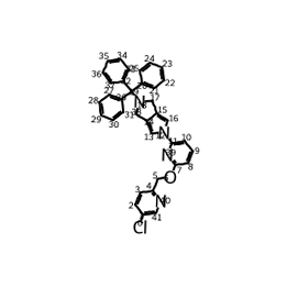 Clc1ccc(COc2cccc(-n3cc4c(c3)CN(C(c3ccccc3)(c3ccccc3)c3ccccc3)C4)n2)nc1